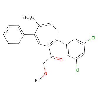 CCOCC(=O)C1=C(c2cc(Cl)cc(Cl)c2)CC=C(C(=O)OCC)C(c2ccccc2)=C1